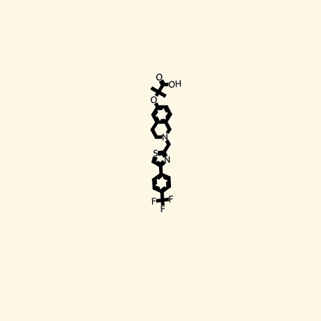 CC(C)(Oc1ccc2c(c1)CCN(Cc1nc(-c3ccc(C(F)(F)F)cc3)cs1)C2)C(=O)O